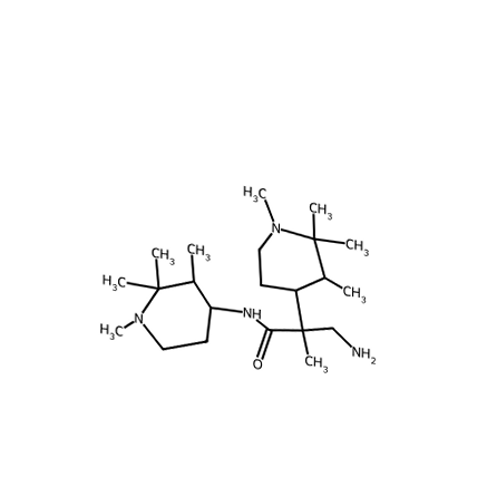 CC1C(NC(=O)C(C)(CN)C2CCN(C)C(C)(C)C2C)CCN(C)C1(C)C